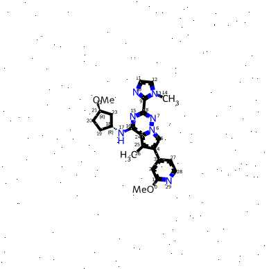 COc1cc(-c2cn3nc(-c4nccn4C)nc(N[C@@H]4CC[C@@H](OC)C4)c3c2C)ccn1